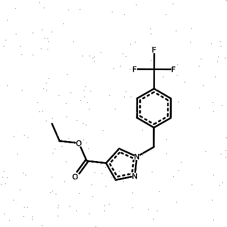 CCOC(=O)c1cnn(Cc2ccc(C(F)(F)F)cc2)c1